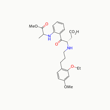 CCOc1cc(OC)ccc1CCCN[C@@H](CC(=O)O)C(=O)c1ccccc1NC(C)C(=O)OC